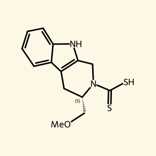 COC[C@@H]1Cc2c([nH]c3ccccc23)CN1C(=S)S